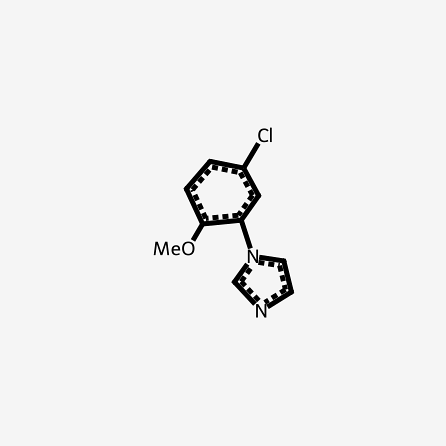 COc1ccc(Cl)cc1-n1ccnc1